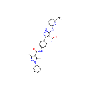 Cc1nn(-c2ccccc2)c(C)c1C(=O)Nc1ccc(-c2n[nH]c(Nc3cccc(C(F)(F)F)n3)c2C(N)=O)cc1